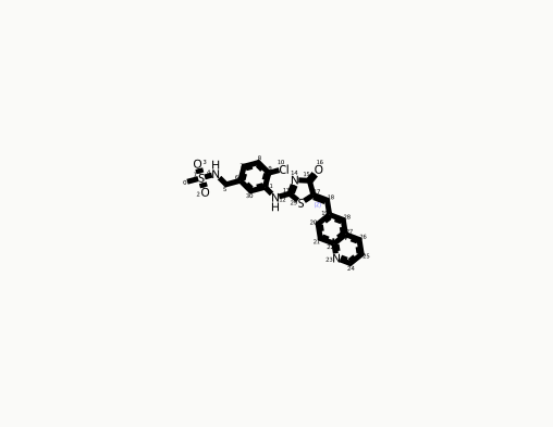 CS(=O)(=O)NCc1ccc(Cl)c(NC2=NC(=O)/C(=C/c3ccc4ncccc4c3)S2)c1